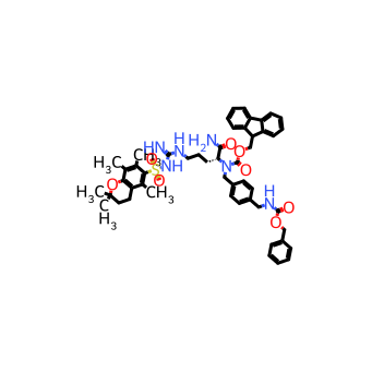 Cc1c(C)c(S(=O)(=O)NC(=N)NCCC[C@H](C(N)=O)N(Cc2ccc(CNC(=O)OCc3ccccc3)cc2)C(=O)OCC2c3ccccc3-c3ccccc32)c(C)c2c1OC(C)(C)CC2